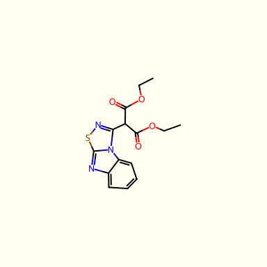 CCOC(=O)C(C(=O)OCC)c1nsc2nc3ccccc3n12